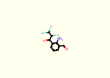 Nc1c(C=O)cccc1C(=O)C(F)C(F)F